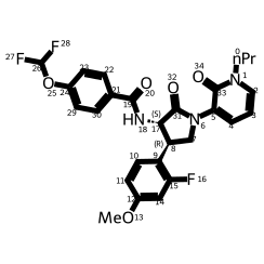 CCCn1cccc(N2C[C@@H](c3ccc(OC)cc3F)[C@H](NC(=O)c3ccc(OC(F)F)cc3)C2=O)c1=O